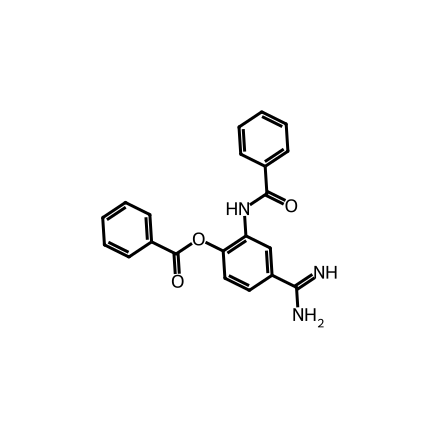 N=C(N)c1ccc(OC(=O)c2ccccc2)c(NC(=O)c2ccccc2)c1